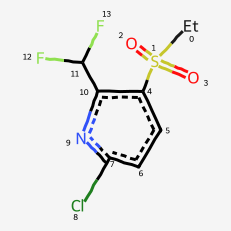 CCS(=O)(=O)c1ccc(Cl)nc1C(F)F